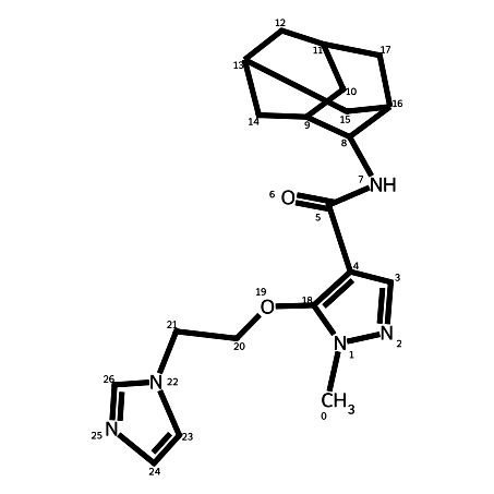 Cn1ncc(C(=O)NC2C3CC4CC(C3)CC2C4)c1OCCn1ccnc1